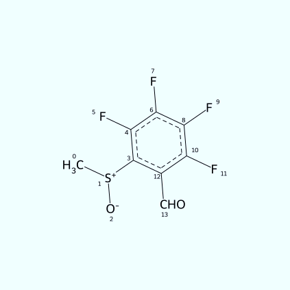 C[S+]([O-])c1c(F)c(F)c(F)c(F)c1C=O